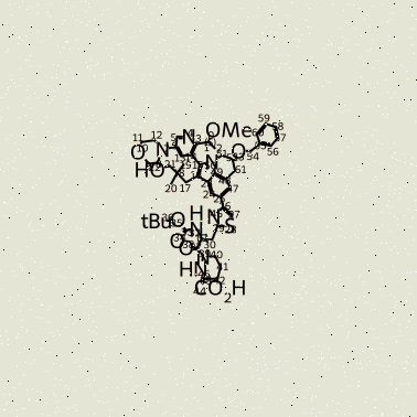 CO[C@@H](C)c1ncc(N2CCOCC2)cc1-c1c(CC(C)(C)CO)c2cc(-c3csc(C[C@H](NC(=O)OC(C)(C)C)C(=O)N4CCC[C@@H](C(=O)O)N4)n3)cc3c2n1CC(OCc1ccccc1)C3